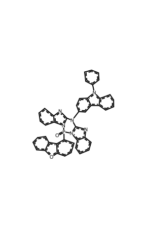 O=P1(c2cccc3oc4ccccc4c23)n2c(nc3ccccc32)N(c2ccc3c(c2)c2ccccc2n3-c2ccccc2)c2nc3ccccc3n21